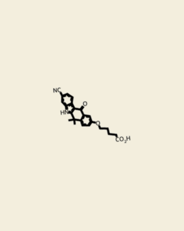 CC1(C)c2ccc(OCCCCC(=O)O)cc2C(=O)c2c1[nH]c1cc(C#N)ccc21